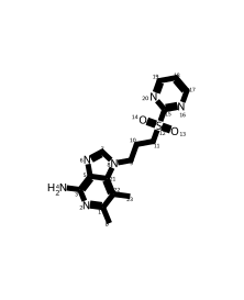 Cc1nc(N)c2ncn(CCCS(=O)(=O)c3ncccn3)c2c1C